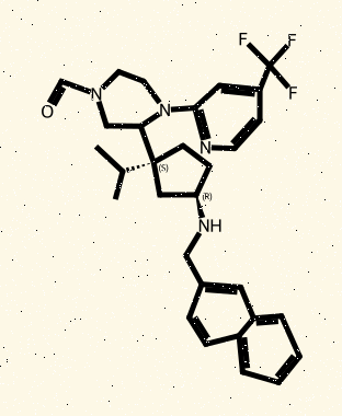 CC(C)[C@]1(C2CN(C=O)CCN2c2cc(C(F)(F)F)ccn2)CC[C@@H](NCc2ccc3ccccc3c2)C1